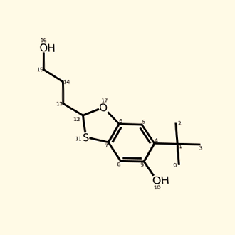 CC(C)(C)c1cc2c(cc1O)SC(CCCO)O2